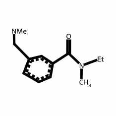 CCN(C)C(=O)c1cccc(CNC)c1